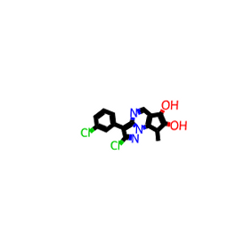 CC1C(O)=C(O)c2cnc3c(-c4cccc(Cl)c4)c(Cl)nn3c21